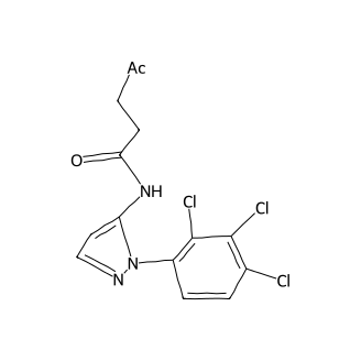 CC(=O)CCC(=O)Nc1ccnn1-c1ccc(Cl)c(Cl)c1Cl